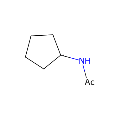 CC(=O)N[C]1CCCC1